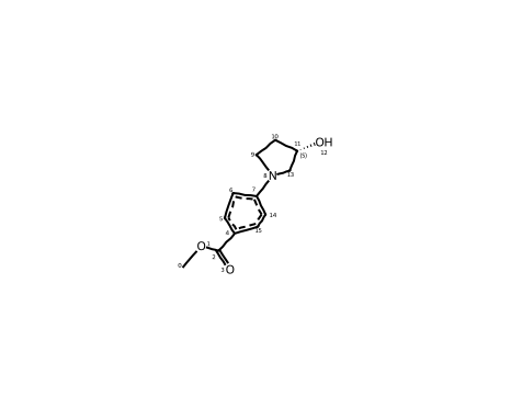 COC(=O)c1ccc(N2CC[C@H](O)C2)cc1